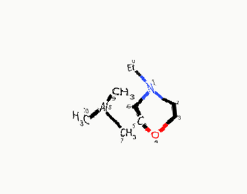 CCN1CCOCC1.[CH3][Al]([CH3])[CH3]